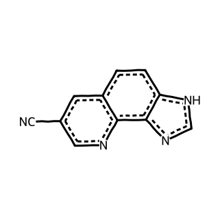 N#Cc1cnc2c(ccc3[nH]cnc32)c1